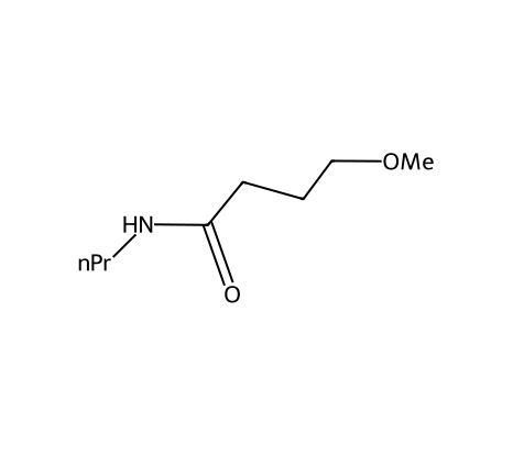 CCCNC(=O)CCCOC